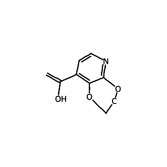 C=C(O)c1ccnc2c1OCCO2